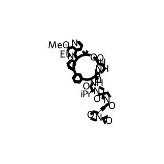 CCn1c(-c2cccnc2[C@H](C)OC)c2c3cc(ccc31)-c1cccc(c1)C[C@H](NC(=O)C(C(C)C)N1CC[C@]3(CCN(C(=O)C#C[C@H]4COCCN4C4COC4)C3)C1=O)C(=O)N1CCC[C@H](N1)C(=O)OCC(C)(C)C2